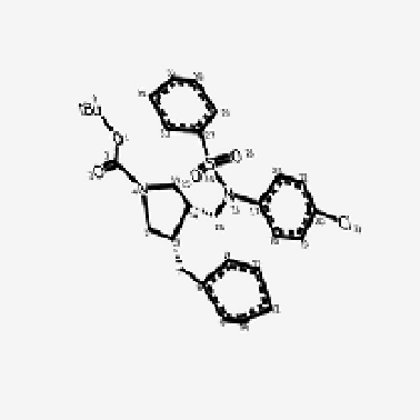 CC(C)(C)OC(=O)N1C[C@@H](Cc2ccccc2)[C@@H](CN(c2ccc(Cl)cc2)S(=O)(=O)c2ccccc2)C1